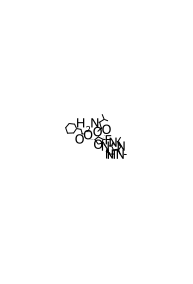 CNc1nc(C)nc2c1ncn2[C@@H]1O[C@H](COC(=O)CC2CCCCC2)[C@@H](OC(=O)[C@@H](N)C(C)C)[C@@]1(C)F